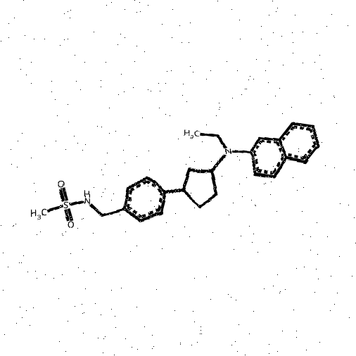 CCN(c1ccc2ccccc2c1)C1CCC(c2ccc(CNS(C)(=O)=O)cc2)C1